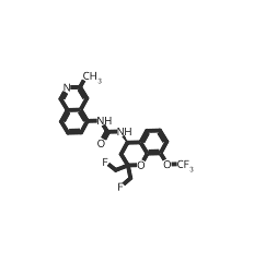 Cc1cc2c(NC(=O)N[C@@H]3CC(CF)(CF)Oc4c(OC(F)(F)F)cccc43)cccc2cn1